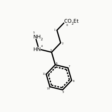 CCOC(=O)CCC(NN)c1ccccc1